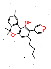 CCCCCc1cc2c(c(O)c1C1C=COC=C1)-c1cc(C)ccc1C(C)(C)O2